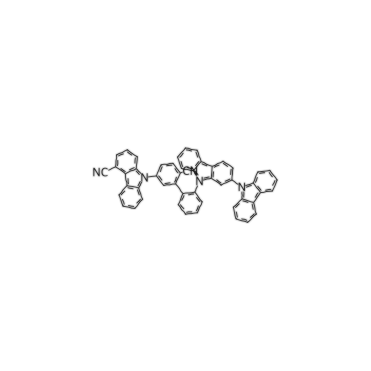 N#Cc1ccc(-n2c3ccccc3c3c(C#N)cccc32)cc1-c1ccccc1-n1c2ccccc2c2ccc(-n3c4ccccc4c4ccccc43)cc21